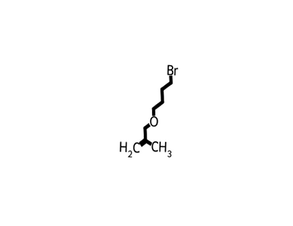 C=C(C)COCCCCBr